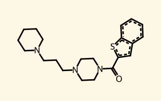 O=C(c1cc2ccccc2s1)N1CCN(CCCN2CCCCC2)CC1